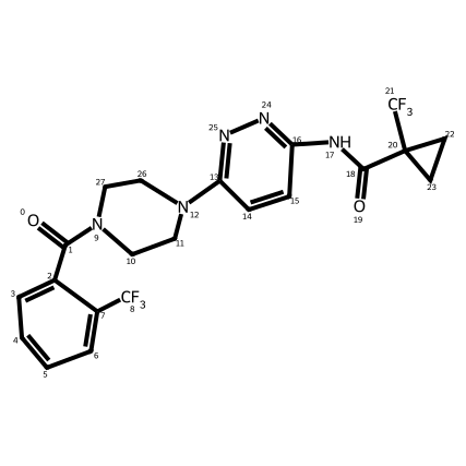 O=C(c1ccccc1C(F)(F)F)N1CCN(c2ccc(NC(=O)C3(C(F)(F)F)CC3)nn2)CC1